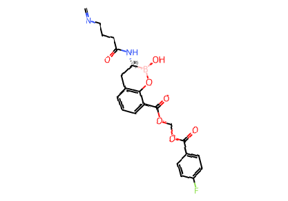 C=NCCCC(=O)N[C@H]1Cc2cccc(C(=O)OCOC(=O)c3ccc(F)cc3)c2OB1O